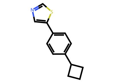 c1ncc(-c2ccc(C3CCC3)cc2)s1